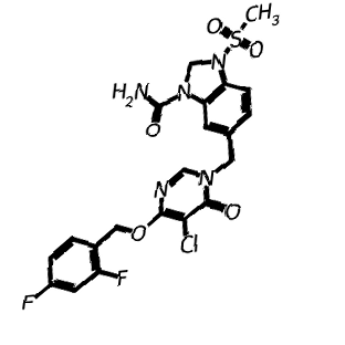 CS(=O)(=O)N1CN(C(N)=O)c2cc(Cn3cnc(OCc4ccc(F)cc4F)c(Cl)c3=O)ccc21